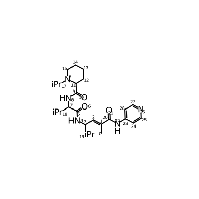 C/C(=C\C(NC(=O)C(NC(=O)C1CCCCN1C(C)C)C(C)C)C(C)C)C(=O)Nc1ccncc1